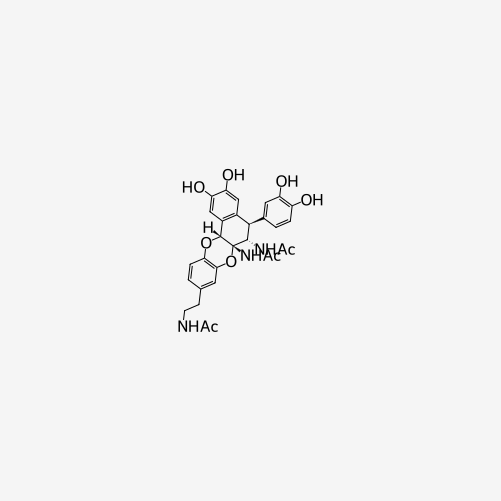 CC(=O)NCCc1ccc2c(c1)O[C@]1(NC(C)=O)[C@H](O2)c2cc(O)c(O)cc2[C@@H](c2ccc(O)c(O)c2)[C@@H]1NC(C)=O